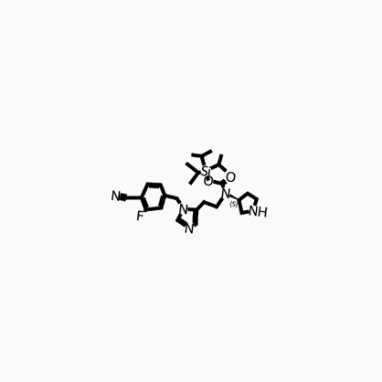 CC(C)[Si](OC(=O)N(CCc1cncn1Cc1ccc(C#N)c(F)c1)[C@H]1CCNC1)(C(C)C)C(C)C